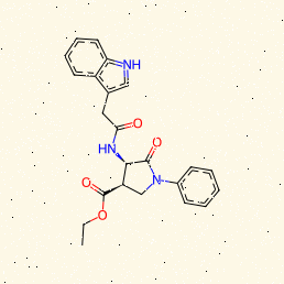 CCOC(=O)[C@@H]1CN(c2ccccc2)C(=O)[C@@H]1NC(=O)Cc1c[nH]c2ccccc12